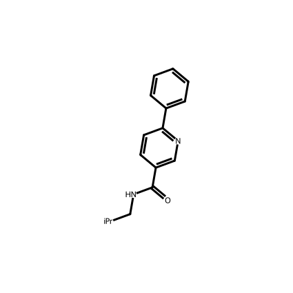 CC(C)CNC(=O)c1ccc(-c2ccccc2)nc1